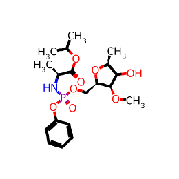 CO[C@@H]1C(O)[C@H](C)O[C@@H]1COP(=O)(N[C@@H](C)C(=O)OC(C)C)Oc1ccccc1